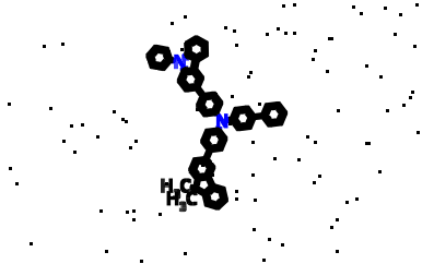 CC1(C)c2ccccc2-c2cc(-c3ccc(N(c4ccc(-c5ccccc5)cc4)c4ccc(-c5ccc6c(c5)c5ccccc5n6-c5ccccc5)cc4)cc3)ccc21